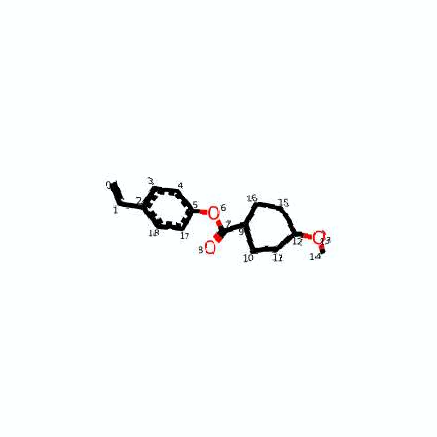 C=Cc1ccc(OC(=O)C2CCC(OC)CC2)cc1